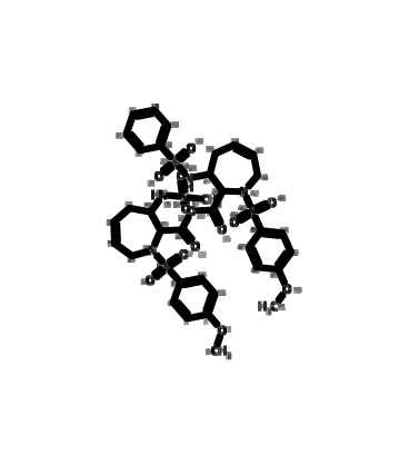 COc1ccc(S(=O)(=O)N2CC=CCC(NS(C)(=O)=O)C2C(=O)OC(=O)C2C(NS(=O)(=O)c3ccccc3)CC=CCN2S(=O)(=O)c2ccc(OC)cc2)cc1